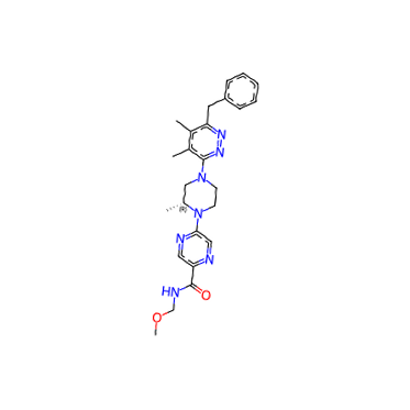 COCNC(=O)c1cnc(N2CCN(c3nnc(Cc4ccccc4)c(C)c3C)C[C@H]2C)cn1